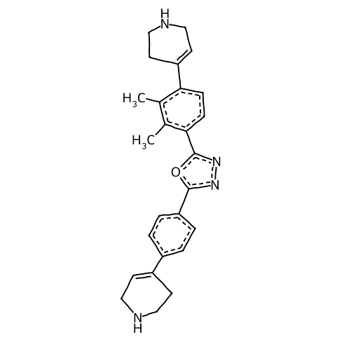 Cc1c(C2=CCNCC2)ccc(-c2nnc(-c3ccc(C4=CCNCC4)cc3)o2)c1C